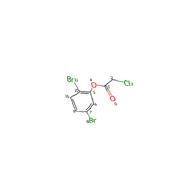 O=C(CCl)Oc1cc(Br)ccc1Br